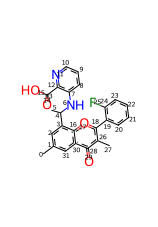 Cc1cc(C(C)Nc2cccnc2C(=O)O)c2oc(-c3ccccc3F)c(C)c(=O)c2c1